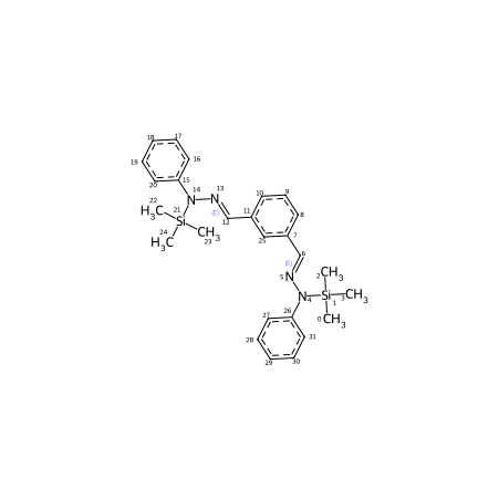 C[Si](C)(C)N(/N=C/c1cccc(/C=N/N(c2ccccc2)[Si](C)(C)C)c1)c1ccccc1